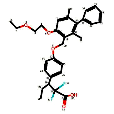 CCOCCOc1cc(C)c(-c2ccccc2)c(C)c1COc1ccc(C(CC)C(F)(F)C(=O)O)cc1